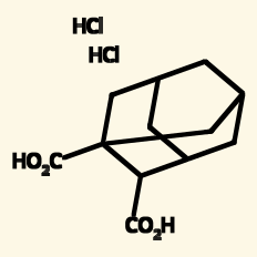 Cl.Cl.O=C(O)C1C2CC3CC(C2)CC1(C(=O)O)C3